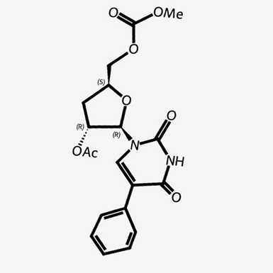 COC(=O)OC[C@@H]1C[C@@H](OC(C)=O)[C@H](n2cc(-c3ccccc3)c(=O)[nH]c2=O)O1